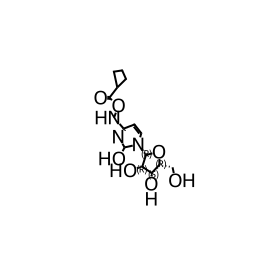 O=C(ONC1=NC(O)N([C@@H]2O[C@H](CO)[C@@H](O)[C@H]2O)C=C1)C1CCC1